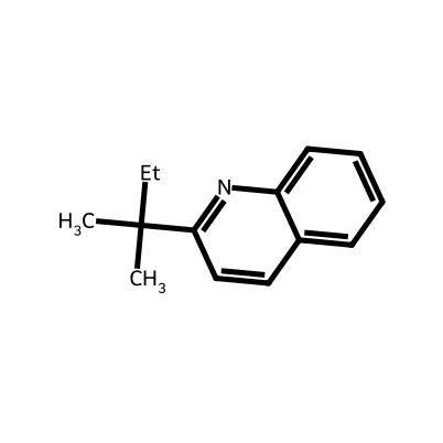 CCC(C)(C)c1ccc2ccccc2n1